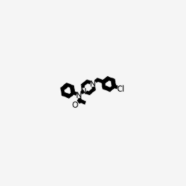 CC(=O)N(c1ccccc1)N1CCN(Cc2ccc(Cl)cc2)CC1